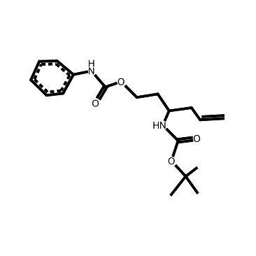 C=CCC(CCOC(=O)Nc1ccccc1)NC(=O)OC(C)(C)C